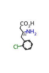 N[C@H](CC(=O)O)Cc1ccccc1Cl